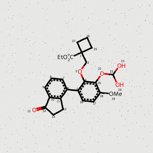 CCOC(=O)C1(COc2c(-c3cccc4c3CCC4=O)ccc(OC)c2OC(O)O)CCC1